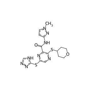 Cn1ccc(NC(=O)c2nc(Sc3nnc[nH]3)cnc2SC2CCOCC2)n1